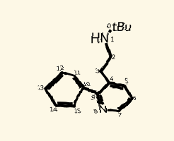 CC(C)(C)NCCc1cccnc1-c1ccccc1